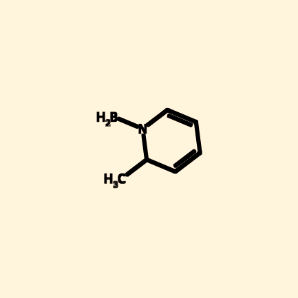 BN1C=CC=CC1C